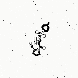 Cc1ccc(S(=O)(=O)OC[C@@H](N)C(=O)N2CCC[C@H]2C#N)cc1